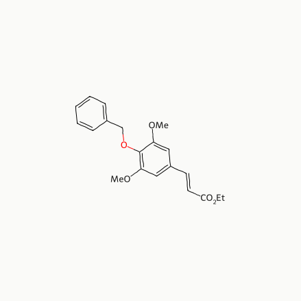 CCOC(=O)/C=C/c1cc(OC)c(OCc2ccccc2)c(OC)c1